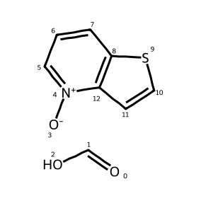 O=CO.[O-][n+]1cccc2sccc21